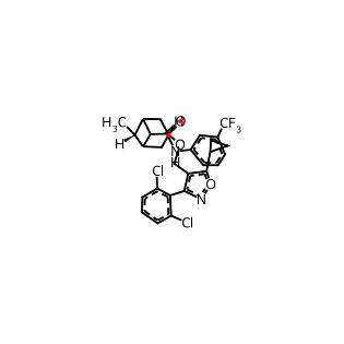 C[C@H]1C2C[C@@H](OCc3c(-c4c(Cl)cccc4Cl)noc3C3CC3)CC1C2C(=O)Nc1cccc(C(F)(F)F)c1